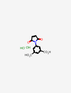 Cl.Cl.O=C(O)c1cc(C(=O)O)cc(N2C(=O)C=CC2=O)c1